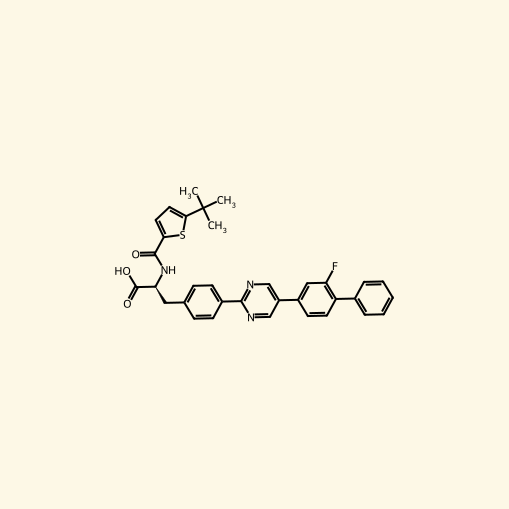 CC(C)(C)c1ccc(C(=O)N[C@@H](Cc2ccc(-c3ncc(-c4ccc(-c5ccccc5)c(F)c4)cn3)cc2)C(=O)O)s1